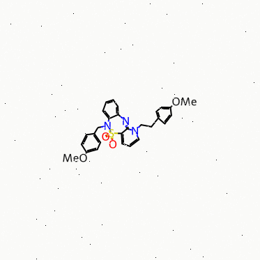 COc1ccc(CCN2C=CC=C3C2=Nc2ccccc2N(Cc2ccc(OC)cc2)S3(=O)=O)cc1